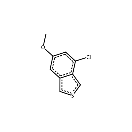 COc1cc(Cl)c2[c]scc2c1